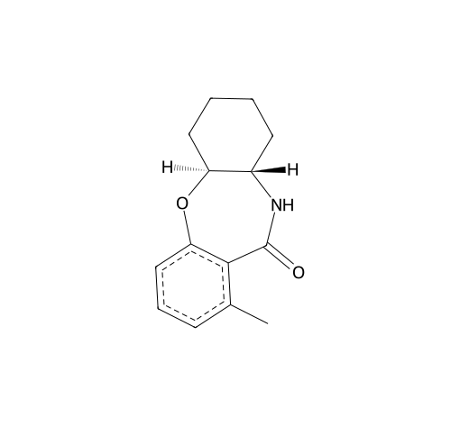 Cc1cccc2c1C(=O)N[C@H]1CCCC[C@@H]1O2